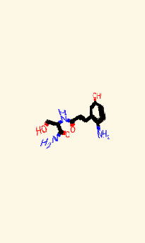 NC(=O)C(CO)NC(=O)C=Cc1cc(O)ccc1N